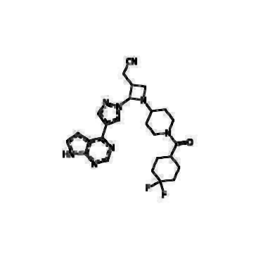 N#CCC1CN(C2CCN(C(=O)C3CCC(F)(F)CC3)CC2)C1n1cc(-c2ncnc3[nH]ccc23)cn1